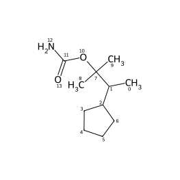 CC(C1CCCC1)C(C)(C)OC(N)=O